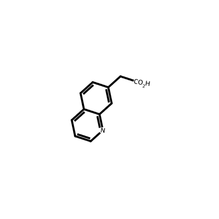 O=C(O)Cc1ccc2cccnc2c1